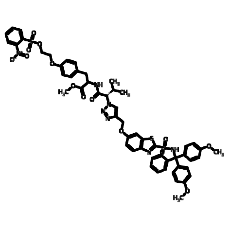 COC(=O)C(Cc1ccc(OCCOS(=O)(=O)c2ccccc2[N+](=O)[O-])cc1)NC(=O)[C@H](C(C)C)n1cc(COc2ccc3nc(S(=O)(=O)NC(c4ccccc4)(c4ccc(OC)cc4)c4ccc(OC)cc4)sc3c2)nn1